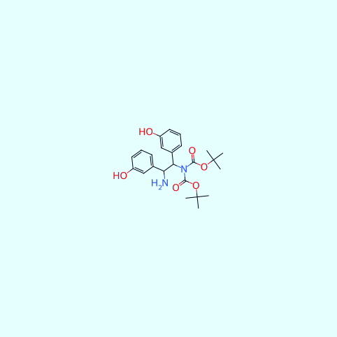 CC(C)(C)OC(=O)N(C(=O)OC(C)(C)C)C(c1cccc(O)c1)C(N)c1cccc(O)c1